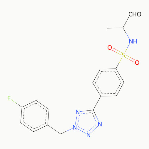 CC(C=O)NS(=O)(=O)c1ccc(-c2nnn(Cc3ccc(F)cc3)n2)cc1